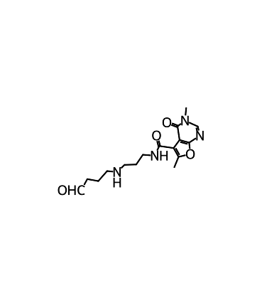 Cc1oc2ncn(C)c(=O)c2c1C(=O)NCCCNCCCC=O